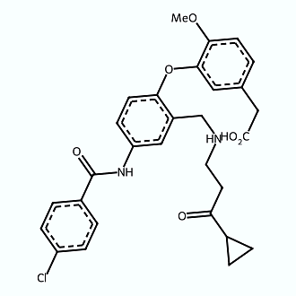 COc1ccc(CC(=O)O)cc1Oc1ccc(NC(=O)c2ccc(Cl)cc2)cc1CNCCC(=O)C1CC1